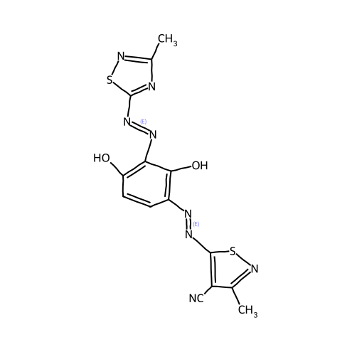 Cc1nsc(/N=N/c2c(O)ccc(/N=N/c3snc(C)c3C#N)c2O)n1